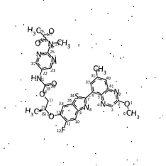 COc1cnc2c(-c3nc4cc(F)c(O[C@@H](C)COC(=O)Nc5cnc(N(C)S(C)(=O)=O)nc5)cc4s3)cc(C)cc2n1